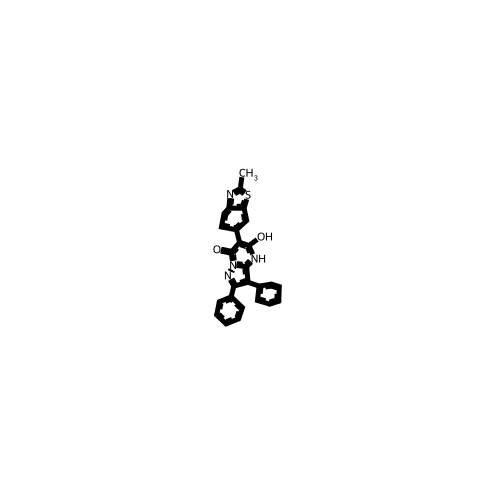 Cc1nc2ccc(-c3c(O)[nH]c4c(-c5ccccc5)c(-c5ccccc5)nn4c3=O)cc2s1